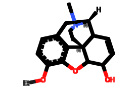 CCOc1ccc2c3c1OC1C(O)C=CC4[C@@H](C2)N(C)CC[C@]314